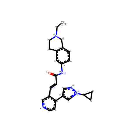 O=C(/C=C/c1cnccc1-c1cnn(C2CC2)c1)Nc1ccc2c(c1)CCN(CC(F)(F)F)C2